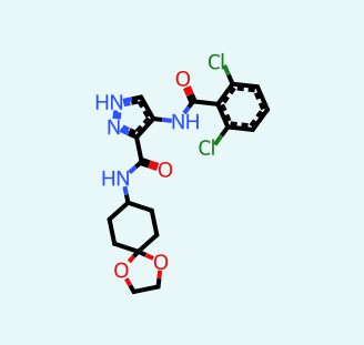 O=C(NC1CCC2(CC1)OCCO2)c1n[nH]cc1NC(=O)c1c(Cl)cccc1Cl